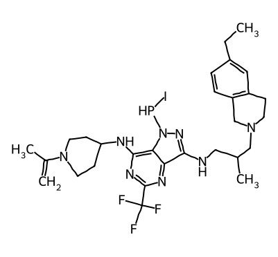 C=C(C)N1CCC(Nc2nc(C(F)(F)F)nc3c(NCC(C)CN4CCc5cc(CC)ccc5C4)nn(PI)c23)CC1